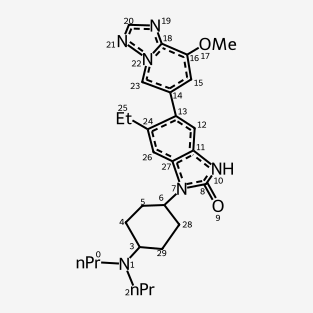 CCCN(CCC)C1CCC(n2c(=O)[nH]c3cc(-c4cc(OC)c5ncnn5c4)c(CC)cc32)CC1